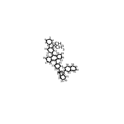 CC1(C)c2ccccc2-c2ccc(-c3c4ccccc4c(-c4ccc(-c5nc6ccccc6n5-c5ccc6ccccc6c5)cc4)c4ccccc34)cc21